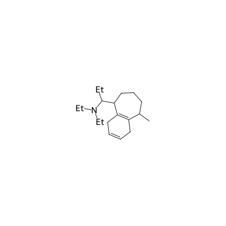 CCC(C1CCCC(C)C2=C1CC=CC2)N(CC)CC